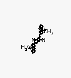 CCN1c2ccccc2Sc2cc(C=Cc3cc(C#N)c(C=Cc4ccc5c(c4)Sc4ccccc4N5CC)cc3C#N)ccc21